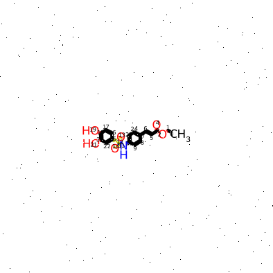 CCOC(=O)/C=C/c1ccc(NS(=O)(=O)c2ccc(O)c(O)c2)cc1